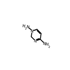 NC1=NCN(N)C=C1